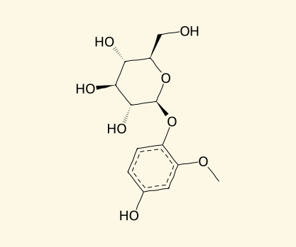 COc1cc(O)ccc1O[C@@H]1O[C@H](CO)[C@@H](O)[C@H](O)[C@H]1O